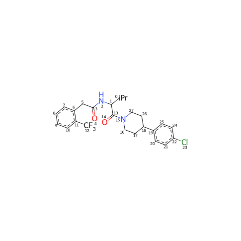 CC(C)C(NC(=O)Cc1ccccc1C(F)(F)F)C(=O)N1CCC(c2ccc(Cl)cc2)CC1